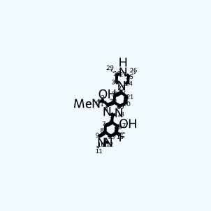 CNC(O)c1nc(-c2cc3cn(C)nc3c(F)c2O)nc2ccc(N3C[C@@H](C)N[C@@H](C)C3)cc12